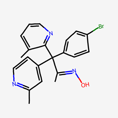 CC(=NO)C(c1ccc(Br)cc1)(c1ccnc(C)c1)c1ncccc1C